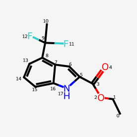 CCOC(=O)c1cc2c(C(C)(F)F)cccc2[nH]1